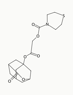 O=C(COC(=O)N1CCSCC1)OC12CC3CC(C1)OC(=O)C(C3)C2